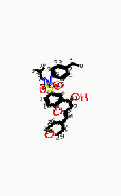 CCc1ccc(N(CC(C)C)S(=O)(=O)c2ccc3c(c2)C(O)CC(=CC2CCOCC2)O3)cc1